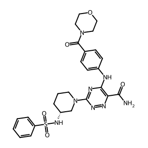 NC(=O)c1nnc(N2CCC[C@@H](NS(=O)(=O)c3ccccc3)C2)nc1Nc1ccc(C(=O)N2CCOCC2)cc1